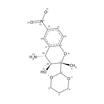 C[C@]1(C2OCCCO2)Oc2ccc([N+](=O)[O-])cc2[C@@H](N)[C@@H]1O